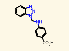 O=C(O)c1ccc(NCn2nnc3ccccc32)cc1